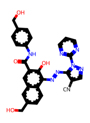 [C-]#[N+]c1cnn(-c2ncccn2)c1/N=N/c1c(O)c(C(=O)Nc2ccc(CO)cc2)cc2cc(CO)ccc12